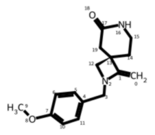 C=C1N(Cc2ccc(OC)cc2)C[C@@]12CCNC(=O)C2